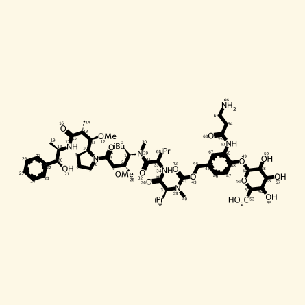 CC[C@H](C)[C@@H]([C@@H](CC(=O)N1CCC[C@H]1[C@H](OC)[C@@H](C)C(=O)N[C@H](C)[C@@H](O)c1ccccc1)OC)N(C)C(=O)C(NC(=O)[C@H](C(C)C)N(C)C(=O)OCc1ccc(OC2OC(C(=O)O)C(O)C(O)C2O)c(NC(=O)CCN)c1)C(C)C